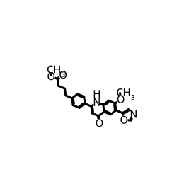 COC(=O)CCCc1ccc(-c2cc(=O)c3cc(-c4cnco4)c(OC)cc3[nH]2)cc1